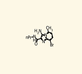 CCCNC(=O)c1nc2c(Br)ccc(C)n2c1N